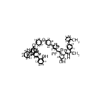 Cc1ncsc1-c1ccc([C@H](C)NC(=O)[C@@H]2C[C@@H](O)CN2C(=O)[C@@H](c2cc(N3CCC(O[C@H]4CC[C@H](Oc5cc(N6CC7CCC6CN(c6cc(-c8ccccc8O)nnc6N)C7)ccn5)CC4)CC3)no2)C(C)C)cc1